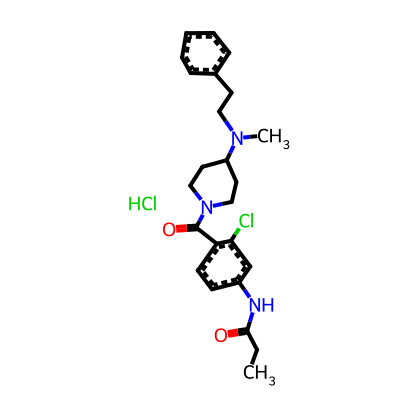 CCC(=O)Nc1ccc(C(=O)N2CCC(N(C)CCc3ccccc3)CC2)c(Cl)c1.Cl